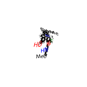 CCN(Cc1ccc(OCCNCCCOC)c(F)c1)c1cc(OC)c(OC)cc1C1CCc2cc(O)ccc2C1